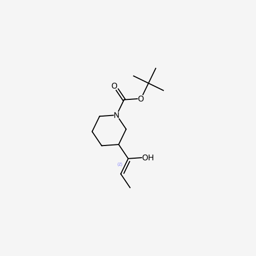 C/C=C(\O)C1CCCN(C(=O)OC(C)(C)C)C1